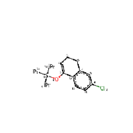 CC(C)[Si](OC1=CCCc2cc(Cl)ccc21)(C(C)C)C(C)C